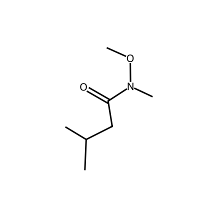 CON(C)C(=O)CC(C)C